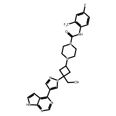 N#CCC1(n2cc(-c3ncnc4[nH]ccc34)cn2)CC(N2CCN(C(=O)Nc3ccc(F)cc3C(F)(F)F)CC2)C1